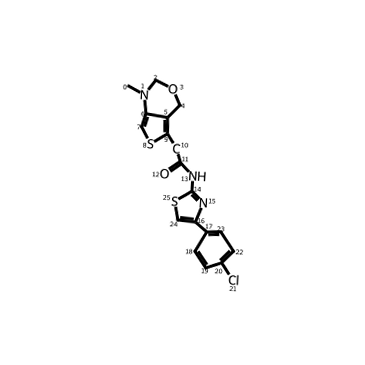 CN1COCc2c1csc2CC(=O)Nc1nc(-c2ccc(Cl)cc2)cs1